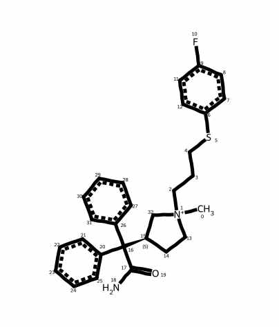 C[N+]1(CCCSc2ccc(F)cc2)CC[C@@H](C(C(N)=O)(c2ccccc2)c2ccccc2)C1